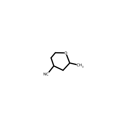 CC1CC(C#N)CCO1